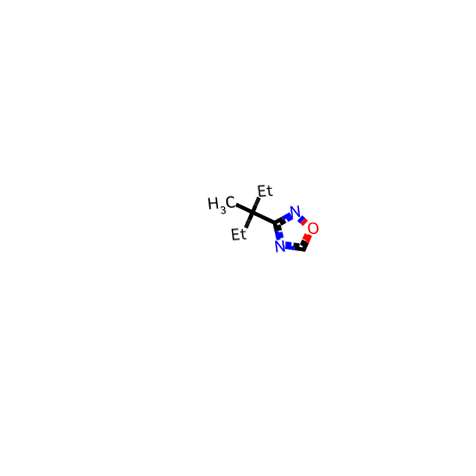 CCC(C)(CC)c1ncon1